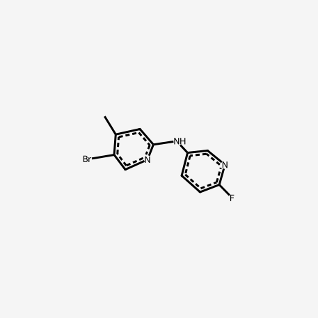 Cc1cc(Nc2ccc(F)nc2)ncc1Br